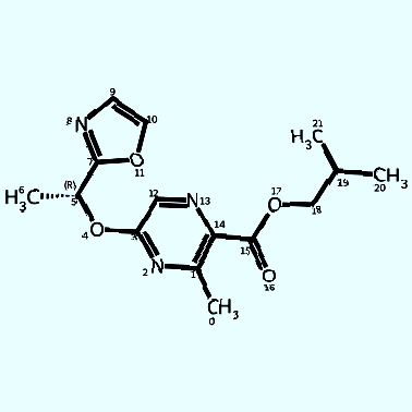 Cc1nc(O[C@H](C)c2ncco2)cnc1C(=O)OCC(C)C